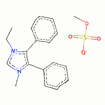 CC[n+]1cn(C)c(-c2ccccc2)c1-c1ccccc1.COS(=O)(=O)[O-]